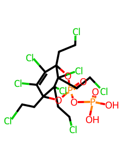 O=P(O)(O)OP1(=O)OC2(CCCl)C(Cl)=C(Cl)C(CCCl)(O1)C(Cl)(CCCl)C2(Cl)CCCl